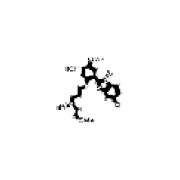 CCCN(CCCOc1ccc(OC)cc1C1Sc2cc(Cl)ccc2N1C(C)=O)CCOC.Cl